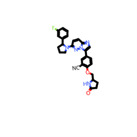 N#Cc1cc(-c2cnc3ccc(N4CCCC4c4cccc(F)c4)nn23)ccc1OCC1CCC(=O)N1